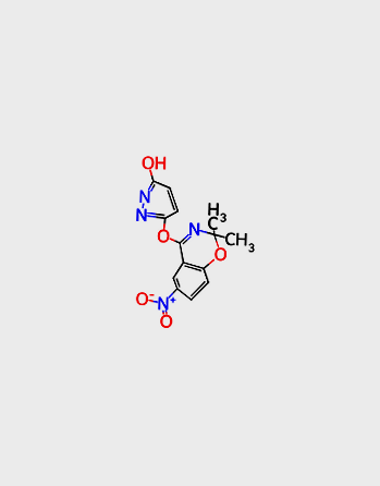 CC1(C)N=C(Oc2ccc(O)nn2)c2cc([N+](=O)[O-])ccc2O1